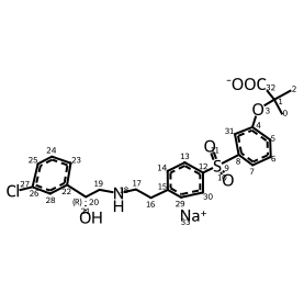 CC(C)(Oc1cccc(S(=O)(=O)c2ccc(CCNC[C@H](O)c3cccc(Cl)c3)cc2)c1)C(=O)[O-].[Na+]